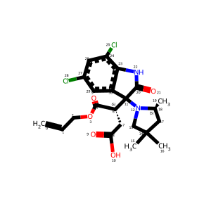 C=CCOC(=O)[C@@H](CC(=O)O)C1(N2CC(C)(C)C[C@@H]2C)C(=O)Nc2c(Cl)cc(Cl)cc21